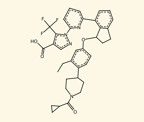 CCc1cc(OC2CCc3cccc(-c4cccc(-n5ncc(C(=O)O)c5C(F)(F)F)n4)c32)ccc1C1CCN(C(=O)C2CC2)CC1